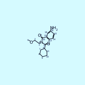 COCCn1c(C2CCCCC2)nc2ccc(N)cc2c1=O